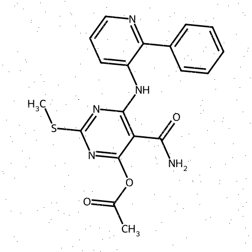 CSc1nc(Nc2cccnc2-c2ccccc2)c(C(N)=O)c(OC(C)=O)n1